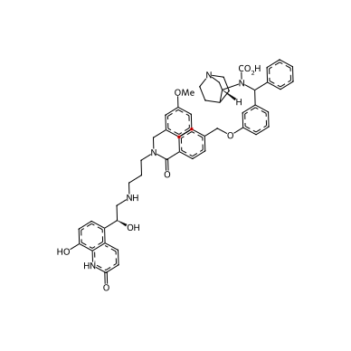 COc1cccc(CN(CCCNC[C@@H](O)c2ccc(O)c3[nH]c(=O)ccc23)C(=O)c2ccc(COc3cccc(C(c4ccccc4)N(C(=O)O)[C@H]4CN5CCC4CC5)c3)cc2)c1